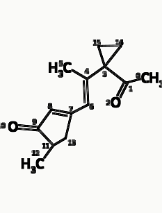 CC(=O)C1(C(C)=CC2=CC(=O)C(C)C2)CC1